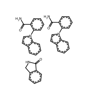 NC(=O)c1ccccc1-n1ccc2ccccc21.NC(=O)c1ccccc1-n1ccc2ccccc21.O=C1NCc2ccccc21